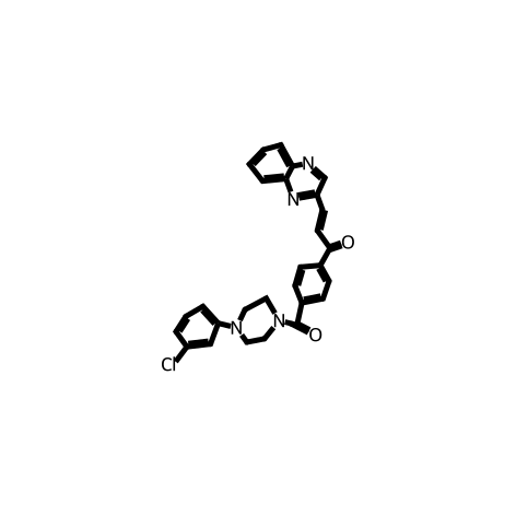 O=C(C=Cc1cnc2ccccc2n1)c1ccc(C(=O)N2CCN(c3cccc(Cl)c3)CC2)cc1